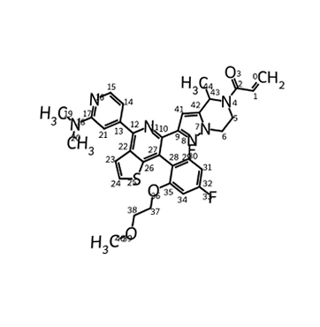 C=CC(=O)N1CCn2nc(-c3nc(-c4ccnc(N(C)C)c4)c4ccsc4c3-c3c(F)cc(F)cc3OCCOC)cc2C1C